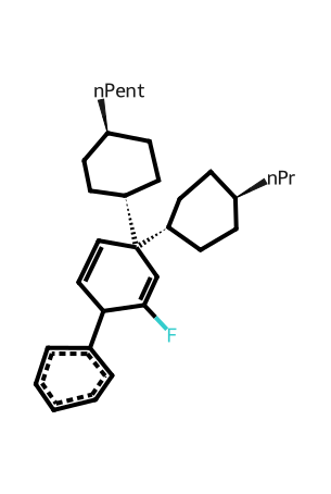 CCCCC[C@H]1CC[C@H](C2([C@H]3CC[C@H](CCC)CC3)C=CC(c3ccccc3)C(F)=C2)CC1